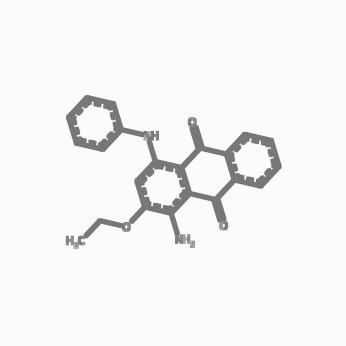 CCOc1cc(Nc2ccccc2)c2c(c1N)C(=O)c1ccccc1C2=O